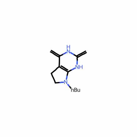 C=C1NC(=C)C2=C(N1)N(CCCC)CC2